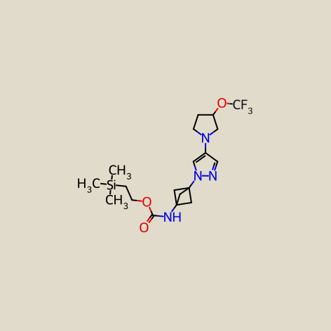 C[Si](C)(C)CCOC(=O)NC12CC(n3cc(N4CCC(OC(F)(F)F)C4)cn3)(C1)C2